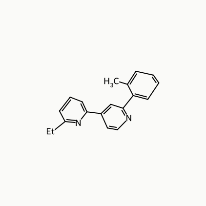 CCc1cccc(-c2ccnc(-c3ccccc3C)c2)n1